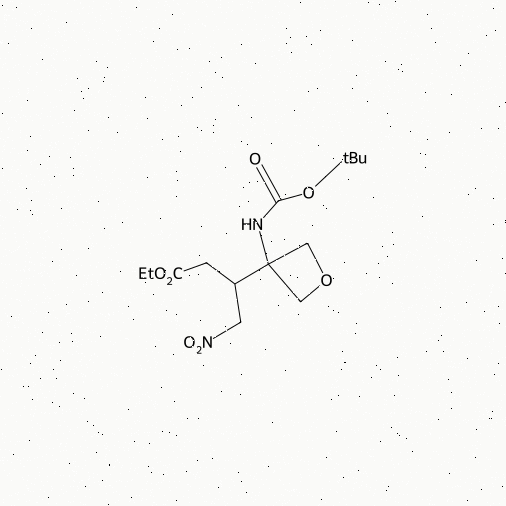 CCOC(=O)CC(C[N+](=O)[O-])C1(NC(=O)OC(C)(C)C)COC1